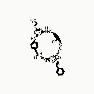 CC1(C)CNC(=O)c2ccc(cc2)Nc2nc(nc(OCC(F)(F)F)n2)NCc2ccc(c(Cl)c2)OCCCN(S(=O)(=O)/C=C/c2ccccc2)C1